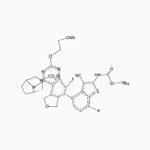 COCCOc1nc(N2C3CCC2CN(C(=O)O)C3)c2c3c(c(-c4ccc(F)c5sc(NC(=O)OC(C)(C)C)c(C#N)c45)c(F)c2n1)COC3